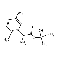 Cc1ccc(N)cc1C(N)C(=O)OC(C)(C)C